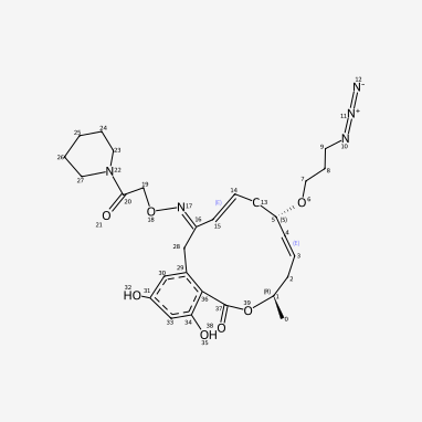 C[C@@H]1C/C=C/[C@@H](OCCCN=[N+]=[N-])C/C=C/C(=NOCC(=O)N2CCCCC2)Cc2cc(O)cc(O)c2C(=O)O1